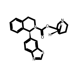 O=C(O[C@@H]1CN2CCC1CC2)N1CCc2ccccc2[C@@H]1c1ccc2ncsc2c1